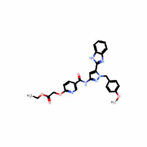 CCOC(=O)COc1ccc(C(=O)Nc2cc(-c3nc4ccccc4[nH]3)n(Cc3ccc(OC)cc3)n2)cn1